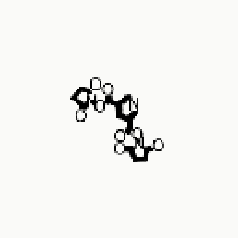 O=C(ON1C(=O)CCC1=O)c1cncc(C(=O)ON2C(=O)CCC2=O)c1